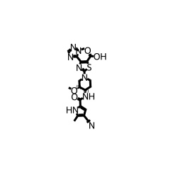 CO[C@H]1CN(c2nc(-c3ncnn3C)c(C(=O)O)s2)CC[C@H]1NC(=O)c1cc(C#N)c(C)[nH]1